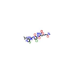 COC(=O)N[C@@H](CC/C=C/C(=O)N(C)C)C(=O)Nc1cc(Cl)cn(Cc2nc3c(F)cnc(CC(C)C)c3[nH]2)c1=O